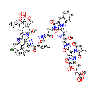 CC[C@@]1(O)C(=O)OCc2c1cc1n(c2=O)Cc2c-1nc1cc(F)c(C)c3c1c2[C@@H](NC(=O)[C@H](C)OCNC(=O)CNC(=O)[C@H](Cc1ccccc1)NC(=O)CNC(=O)CNC(=O)C(CN[C@H](CCC(=O)O)C(=O)O)N1C(=O)C=CC1=O)CC3